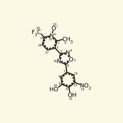 Cc1c(-c2noc(-c3cc(O)c(O)c([N+](=O)[O-])c3)n2)ccc(C(F)(F)F)[n+]1[O-]